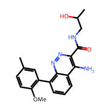 COc1ccc(C)cc1-c1cccc2c(N)c(C(=O)NCC(C)O)nnc12